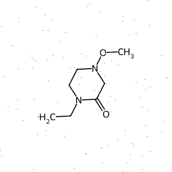 [CH2]CN1CCN(OC)CC1=O